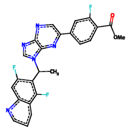 COC(=O)c1ccc(-c2cnc3ncn(C(C)c4c(F)cc5ncccc5c4F)c3n2)cc1F